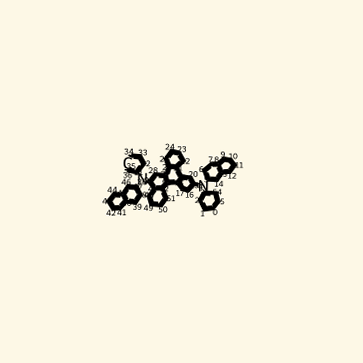 c1ccc(N(c2ccc3ccccc3c2)c2ccc3c(c2)c2ccccc2c2cc(N(c4ccccc4)c4ccc5ccccc5c4)c4ccccc4c32)cc1